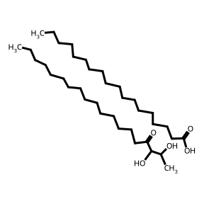 CCCCCCCCCCCCCCCC(=O)C(O)C(C)O.CCCCCCCCCCCCCCCCCC(=O)O